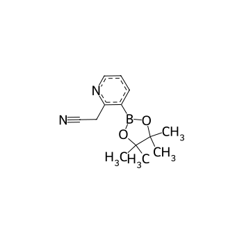 CC1(C)OB(c2cccnc2CC#N)OC1(C)C